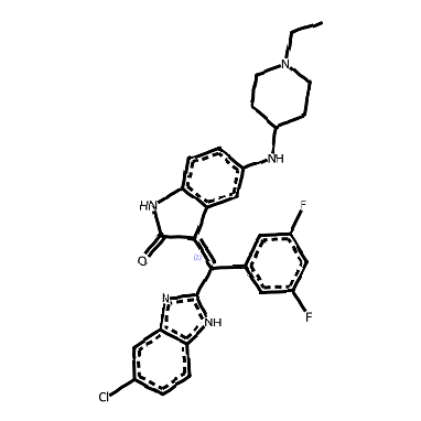 CCN1CCC(Nc2ccc3c(c2)/C(=C(\c2cc(F)cc(F)c2)c2nc4cc(Cl)ccc4[nH]2)C(=O)N3)CC1